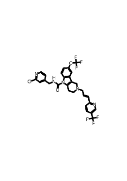 O=C(NCc1ccnc(Cl)c1)n1c2c(c3cc(OC(F)(F)F)ccc31)CN(CC=Cc1ccc(C(F)(F)F)cn1)CC2